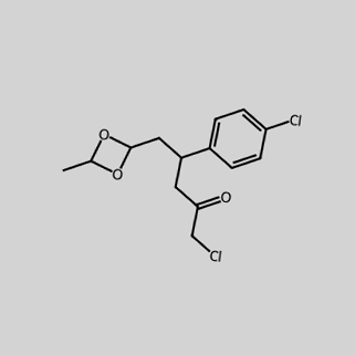 CC1OC(CC(CC(=O)CCl)c2ccc(Cl)cc2)O1